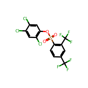 O=S(=O)(Oc1cc(Cl)c(Cl)cc1Cl)c1ccc(C(F)(F)F)cc1C(F)(F)F